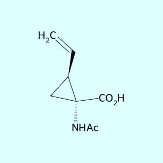 C=C[C@@H]1C[C@]1(NC(C)=O)C(=O)O